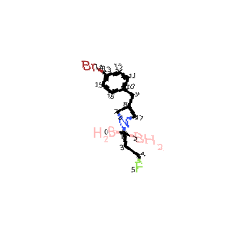 BC(B)(CCF)N1CC(Cc2ccc(Br)cc2)C1